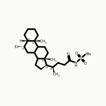 CC[C@H]1CC2C3CC[C@H]([C@H](C)CCC(=O)NS(=O)(=O)C(C)(C)C)[C@@]3(C)CCC2[C@@]2(C)CCCC[C@@H]12